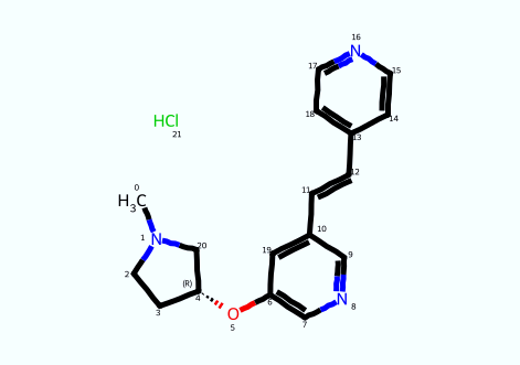 CN1CC[C@@H](Oc2cncc(C=Cc3ccncc3)c2)C1.Cl